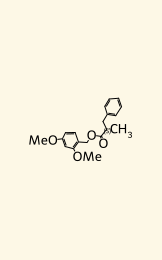 COc1ccc(COC(=O)[C@@H](C)Cc2ccccc2)c(OC)c1